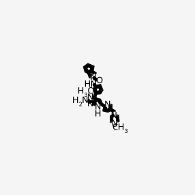 Cc1c(NC(=O)N2Cc3ccccc3C2)cccc1-c1nc(N)nc2[nH]c(-c3ccc(CN4CCN(C)CC4)cn3)cc12